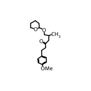 COc1ccc(CCC(=O)CC(C)COC2CCCCO2)cc1